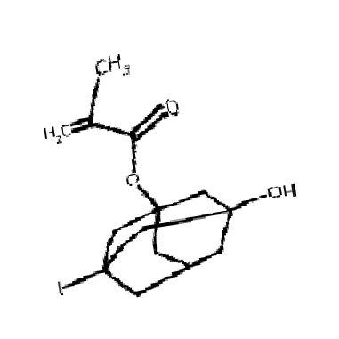 C=C(C)C(=O)OC12CC3CC(O)(CC(I)(C3)C1)C2